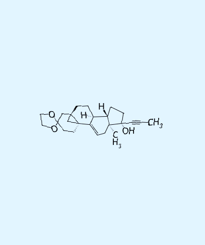 CC#C[C@]1(O)CC[C@H]2[C@@H]3CC[C@@]45CC6(CC[C@@]4(C5)C3=CC[C@@]21C)OCCO6